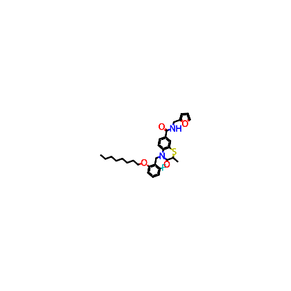 CCCCCCCCOc1cccc(F)c1CN1C(=O)C(C)Sc2cc(C(=O)NCc3ccco3)ccc21